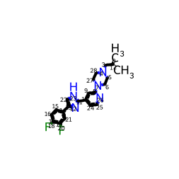 CC(C)CN1CCN(c2cc(-c3nc(-c4ccc(F)c(F)c4)c[nH]3)ccn2)CC1